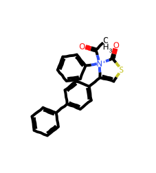 CC(=O)[N+]1(c2ccccc2)C(=O)SC=C1c1ccc(-c2ccccc2)cc1